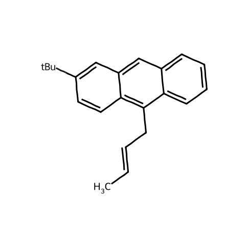 C/C=C/Cc1c2ccccc2cc2cc(C(C)(C)C)ccc12